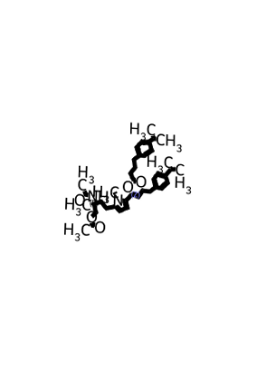 CC(=O)N[C@](C)(CCc1ccc(/C(=C/CCc2ccc(C(C)C)cc2)OC(=O)CCCc2ccc(C(C)C)cc2)n1C)COC(C)=O